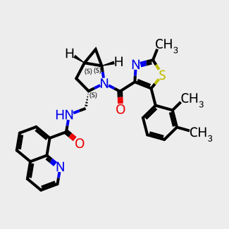 Cc1nc(C(=O)N2[C@H](CNC(=O)c3cccc4cccnc34)C[C@@H]3C[C@@H]32)c(-c2cccc(C)c2C)s1